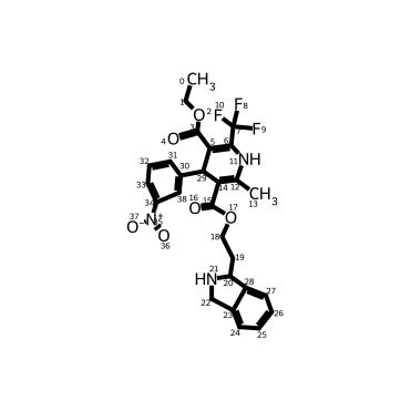 CCOC(=O)C1=C(C(F)(F)F)NC(C)=C(C(=O)OCCC2NCc3ccccc32)C1c1cccc([N+](=O)[O-])c1